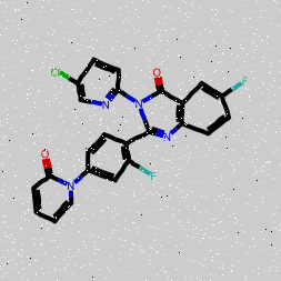 O=c1ccccn1-c1ccc(-c2nc3ccc(F)cc3c(=O)n2-c2ccc(Cl)cn2)c(F)c1